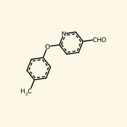 Cc1ccc(Oc2ccc(C=O)cn2)cc1